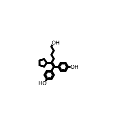 OCCCCC(=C(c1ccc(O)cc1)c1ccc(O)cc1)C1CCCC1